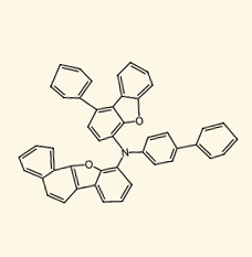 c1ccc(-c2ccc(N(c3cccc4c3oc3c5ccccc5ccc43)c3ccc(-c4ccccc4)c4c3oc3ccccc34)cc2)cc1